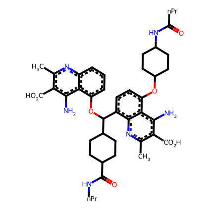 CCCNC(=O)C1CCC(C(Oc2cccc3nc(C)c(C(=O)O)c(N)c23)c2ccc(OC3CCC(NC(=O)CCC)CC3)c3c(N)c(C(=O)O)c(C)nc23)CC1